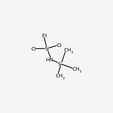 CC[Si](Cl)(Cl)N[Si](C)(C)C